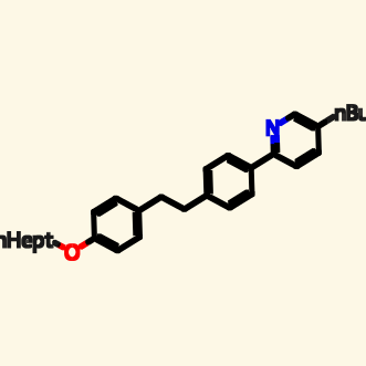 CCCCCCCOc1ccc(CCc2ccc(-c3ccc(CCCC)cn3)cc2)cc1